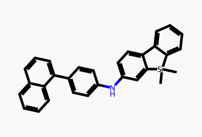 C[Si]1(C)c2ccccc2-c2ccc(Nc3ccc(-c4cccc5ccccc45)cc3)cc21